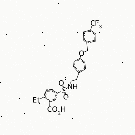 CCc1ccc(S(=O)(=O)NCCc2ccc(OCc3ccc(C(F)(F)F)cc3)cc2)cc1C(=O)O